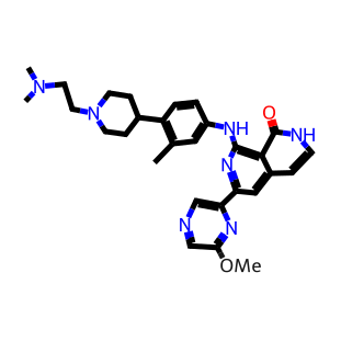 COc1cncc(-c2cc3cc[nH]c(=O)c3c(Nc3ccc(C4CCN(CCN(C)C)CC4)c(C)c3)n2)n1